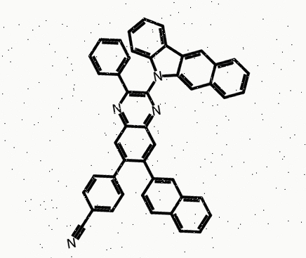 N#Cc1ccc(-c2cc3nc(-c4ccccc4)c(-n4c5ccccc5c5cc6ccccc6cc54)nc3cc2-c2ccc3ccccc3c2)cc1